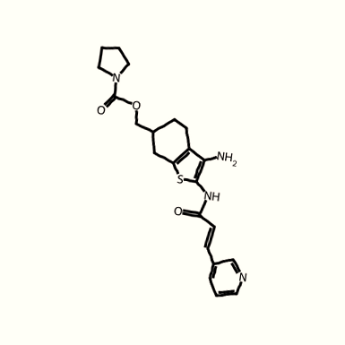 Nc1c(NC(=O)/C=C/c2cccnc2)sc2c1CCC(COC(=O)N1CCCC1)C2